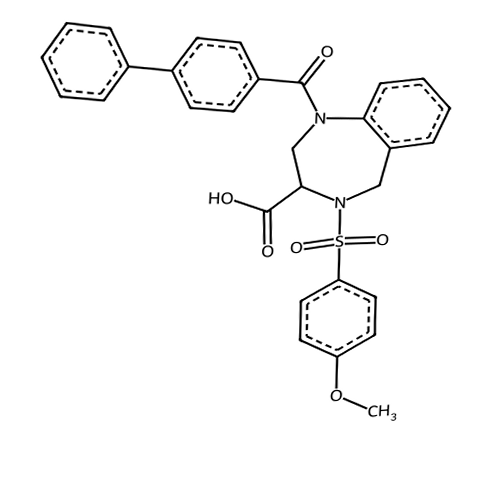 COc1ccc(S(=O)(=O)N2Cc3ccccc3N(C(=O)c3ccc(-c4ccccc4)cc3)CC2C(=O)O)cc1